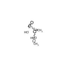 COc1cc(C=CC(=O)NC2CCC(C)CC2)ccc1OCCc1nccn1-c1ccccc1.Cl